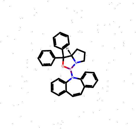 C1=Cc2ccccc2N(P2OC(c3ccccc3)(c3ccccc3)[C@@H]3CCCN32)c2ccccc21